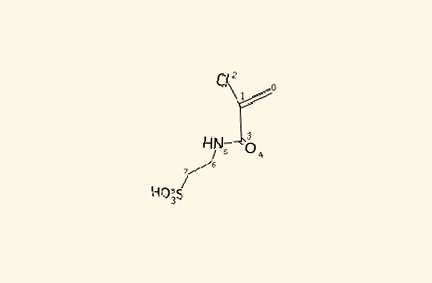 C=C(Cl)C(=O)NCCS(=O)(=O)O